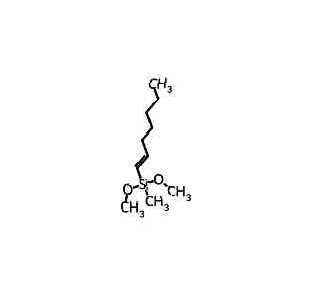 CCCCCC=C[Si](C)(OC)OC